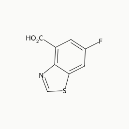 O=C(O)c1cc(F)cc2scnc12